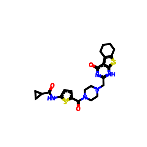 O=C(Nc1ccc(C(=O)N2CCN(Cc3nc(=O)c4c5c(sc4[nH]3)CCCC5)CC2)s1)C1CC1